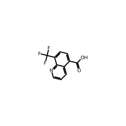 O=C(O)c1ccc(C(F)(F)F)c2ncccc12